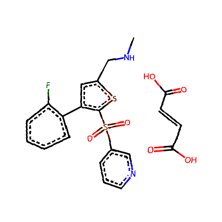 CNCc1cc(-c2ccccc2F)c(S(=O)(=O)c2cccnc2)s1.O=C(O)C=CC(=O)O